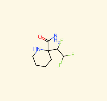 NC(=O)C1(C(F)C(F)F)CCCCN1